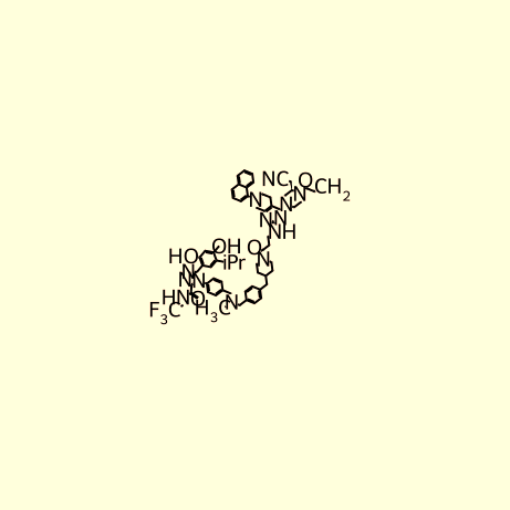 C=CC(=O)N1CCN(c2nc(NCCC(=O)N3CCC(Cc4ccc(CN(C)Cc5ccc(-n6c(C(=O)NCC(F)(F)F)nnc6-c6cc(C(C)C)c(O)cc6O)cc5)cc4)CC3)nc3c2CCN(c2cccc4ccccc24)C3)C[C@H]1CC#N